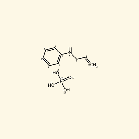 C=CCNc1ccccc1.O=P(O)(O)O